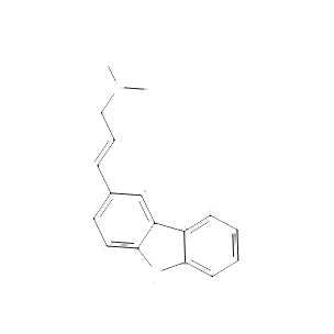 CCN(CC)CC=Cc1ccc2sc3ccccc3c2c1